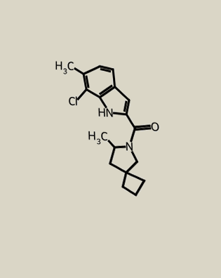 Cc1ccc2cc(C(=O)N3CC4(CCC4)CC3C)[nH]c2c1Cl